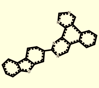 c1ccc2c(c1)oc1cc(-c3ncc4c5ccccc5c5cncnc5c4n3)ccc12